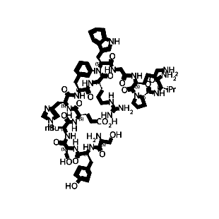 CCCC[C@H](NC(=O)[C@H](CO)NC(=O)[C@H](Cc1ccc(O)cc1)NC(=O)[C@@H](N)CO)C(=O)N[C@@H](CCC(=O)O)C(=O)N[C@@H](Cc1c[nH]cn1)C(=O)N[C@@H](Cc1ccccc1)C(=O)N[C@@H](CCCNC(=N)N)C(=O)N[C@@H](Cc1c[nH]c2ccccc12)C(=O)NCC(=O)N[C@@H](CCCCN)C(=O)N1CCC[C@H]1C(=O)N[C@H](C(N)=O)C(C)C